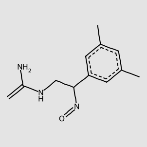 C=C(N)NCC(N=O)c1cc(C)cc(C)c1